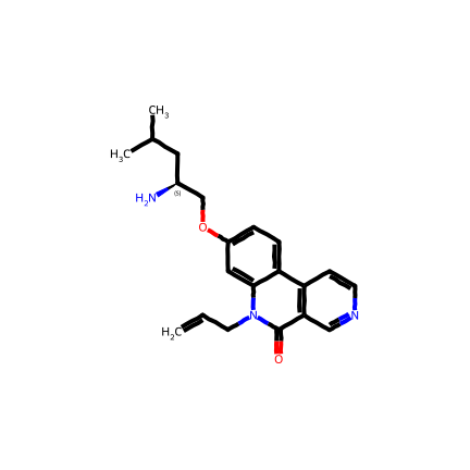 C=CCn1c(=O)c2cnccc2c2ccc(OC[C@@H](N)CC(C)C)cc21